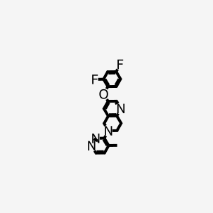 Cc1ccnnc1N1CCc2ncc(Oc3ccc(F)cc3F)cc2C1